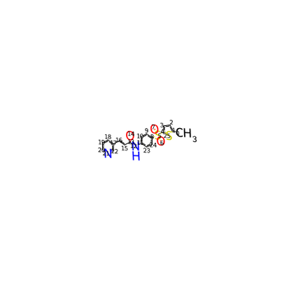 Cc1ccc(S(=O)(=O)c2ccc(NC(=O)C=Cc3cccnc3)cc2)s1